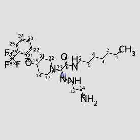 CCCCCCCNC(=O)/C(=N\NCCN)N1CCC(Oc2ccccc2C(F)(F)F)CC1